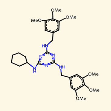 COc1cc(CNc2nc(NCc3cc(OC)c(OC)c(OC)c3)nc(NC3CCCCC3)n2)cc(OC)c1OC